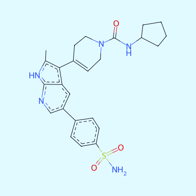 Cc1[nH]c2ncc(-c3ccc(S(N)(=O)=O)cc3)cc2c1C1=CCN(C(=O)NC2CCCC2)CC1